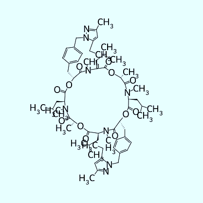 CCc1cc(C)nn1Cc1ccc(C[C@H]2OC(=O)[C@H](CC(C)C)N(C)C(=O)[C@@H](C)OC(=O)[C@H](CC(C)C)N(C)C(=O)[C@@H](Cc3ccc(Cn4nc(C)cc4CC)cc3)OC(=O)[C@H](CC(C)C)N(C)C(=O)[C@@H](C)OC(=O)[C@H](CC(C)C)N(C)C2=O)cc1